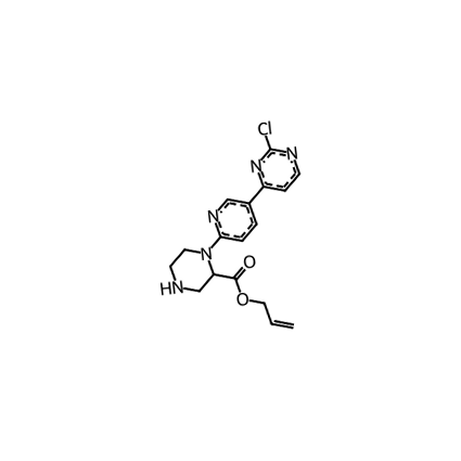 C=CCOC(=O)C1CNCCN1c1ccc(-c2ccnc(Cl)n2)cn1